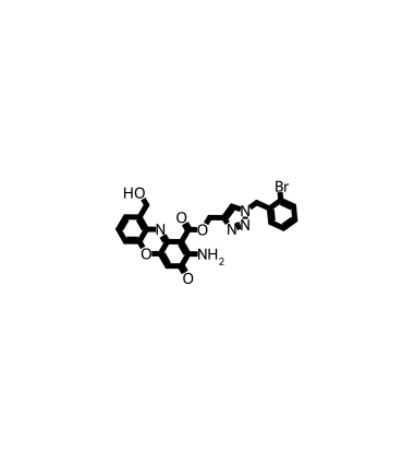 Nc1c(C(=O)OCc2cn(Cc3ccccc3Br)nn2)c2nc3c(CO)cccc3oc-2cc1=O